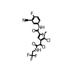 Cn1c(C(=O)Nc2ccc(F)c(C#N)c2)cc(C(=O)C(=O)NCC(F)(F)F)c1Cl